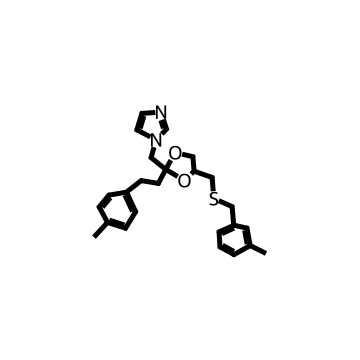 Cc1ccc(CCC2(Cn3ccnc3)OCC(CSCc3cccc(C)c3)O2)cc1